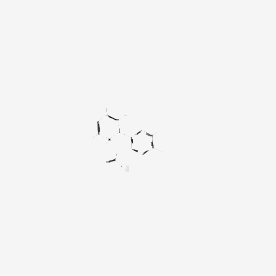 NC(=O)OC1(F)C(F)=CC(F)=C(F)C1c1ccc(C(=O)O)c(C(F)(F)F)c1